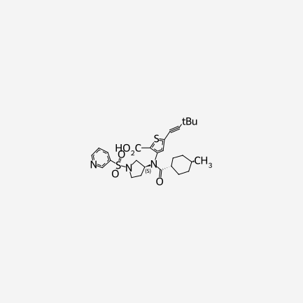 CC(C)(C)C#Cc1cc(N(C(=O)[C@H]2CC[C@H](C)CC2)[C@H]2CCN(S(=O)(=O)c3cccnc3)C2)c(C(=O)O)s1